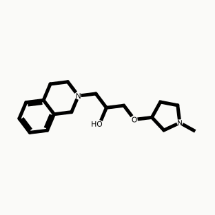 CN1CCC(OCC(O)CN2CCc3ccccc3C2)C1